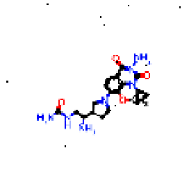 COc1c(N2CC[C@@H]([C@@H](N)CNC(N)=O)C2)ccc2c(=O)n(N)c(=O)n(C3CC3)c12